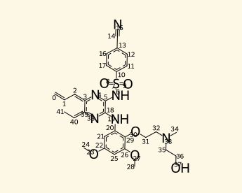 C=C/C=c1/nc(NS(=O)(=O)c2ccc(C#N)cc2)c(Nc2cc(OC)cc(OC)c2OCCN(C)CCO)n/c1=C/C